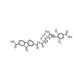 COc1cc(C(=O)O)cc(OC)c1O.O=C(O)c1ccc2c(c1)C(=O)c1cc(C(=O)OC(=O)C(F)(F)C(F)(F)C(F)(F)C(=O)O)ccc1-2